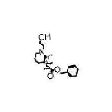 C[C@@H]1[C@H](S(C)(C)C(=O)OCc2ccccc2)CCCN1CCO